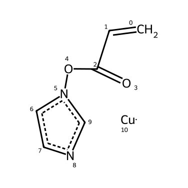 C=CC(=O)On1ccnc1.[Cu]